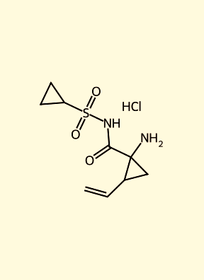 C=CC1CC1(N)C(=O)NS(=O)(=O)C1CC1.Cl